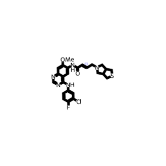 COc1cc2ncnc(Nc3ccc(F)c(Cl)c3)c2cc1NC(=O)/C=C/CN1CC2CSCC2C1